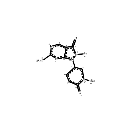 CCn1c(=O)c2cnc(SC)nc2n1-c1ccc(=O)n(C(C)(C)C)c1